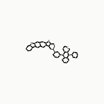 C1=c2sc3cc4cc5oc6ccccc6c5cc4cc3c2=CC(c2cccc(-c3c4ccccc4c(-c4ccccc4)c4ccccc34)c2)C1